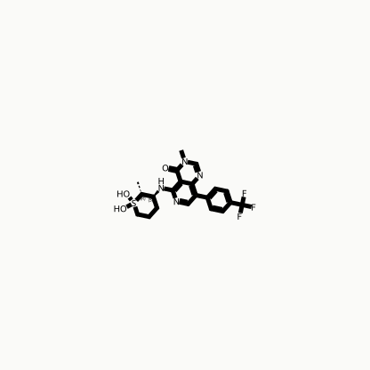 C[C@@H]1[C@@H](Nc2ncc(-c3ccc(C(F)(F)F)cc3)c3ncn(C)c(=O)c23)CCCS1(O)O